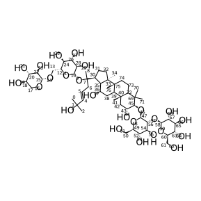 CC(C)(O)/C=C/CC(C)(O[C@@H]1O[C@H](CO[C@@H]2OC[C@@H](O)[C@H](O)[C@H]2O)[C@@H](O)[C@H](O)[C@H]1O)[C@H]1CC[C@]2(C)C1[C@H](O)CC1[C@@]3(C)C[C@@H](O)[C@H](O[C@@H]4O[C@H](CO)[C@@H](O)[C@H](O)[C@H]4O[C@@H]4O[C@H](CO)[C@@H](O)[C@H](O)[C@H]4O)C(C)(C)C3CC[C@]12C